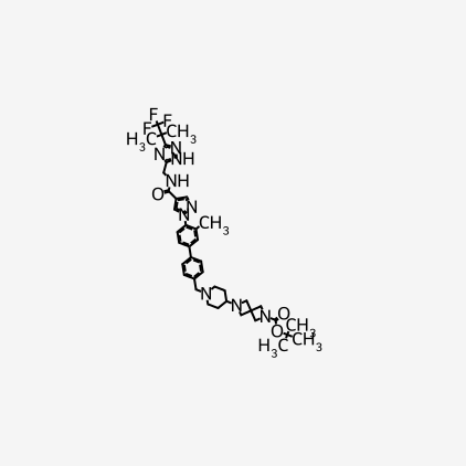 Cc1cc(-c2ccc(CN3CCC(N4CC5(CN(C(=O)OC(C)(C)C)C5)C4)CC3)cc2)ccc1-n1cc(C(=O)NCc2nc(C(C)(C)C(F)(F)F)n[nH]2)cn1